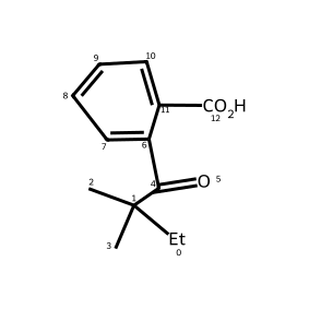 CCC(C)(C)C(=O)c1ccccc1C(=O)O